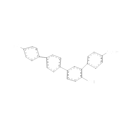 Cc1ccc(-c2ccc(-c3ccc(C)c(-c4ccc(S(=O)(=O)O)cc4)c3)cc2)cc1